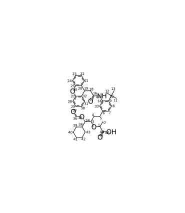 CC(OC(CCc1ccc(C(C)(C)C)c(NC(=O)CC2c3ccccc3Oc3ccccc32)c1)C(OC=O)C1CCCCC1)C(=O)O